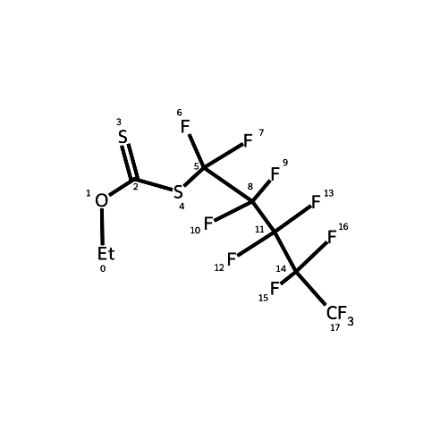 CCOC(=S)SC(F)(F)C(F)(F)C(F)(F)C(F)(F)C(F)(F)F